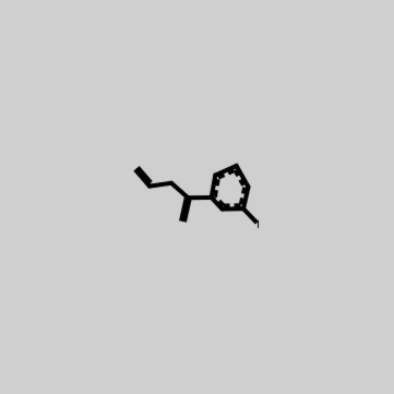 C=CCC(=C)c1cccc(I)c1